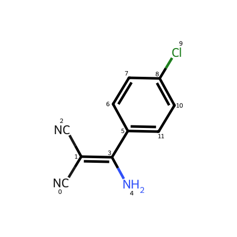 N#CC(C#N)=C(N)c1ccc(Cl)cc1